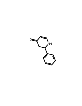 O=C1C=CNC(c2ccccc2)C1